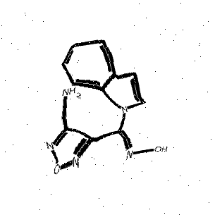 Nc1nonc1/C(=N/O)n1ccc2ccccc21